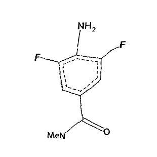 CNC(=O)c1cc(F)c(N)c(F)c1